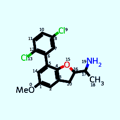 COc1cc2c(c(-c3cc(Cl)ccc3Cl)c1)OC(C(C)N)C2